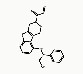 C=CC(=O)N1CCc2c(sc3ncnc(N[C@H](CO)c4ccccc4)c23)C1